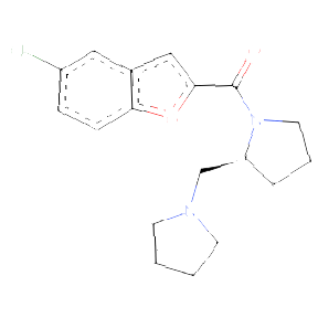 O=C(c1cc2cc(Cl)ccc2o1)N1CCC[C@H]1CN1CCCC1